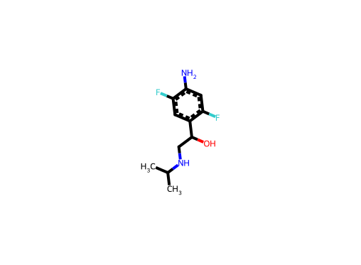 CC(C)NCC(O)c1cc(F)c(N)cc1F